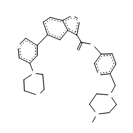 CN1CCN(Cc2ccc(NC(=O)c3n[nH]c4ccc(-c5cncc(N6CCOCC6)c5)cc34)cn2)CC1